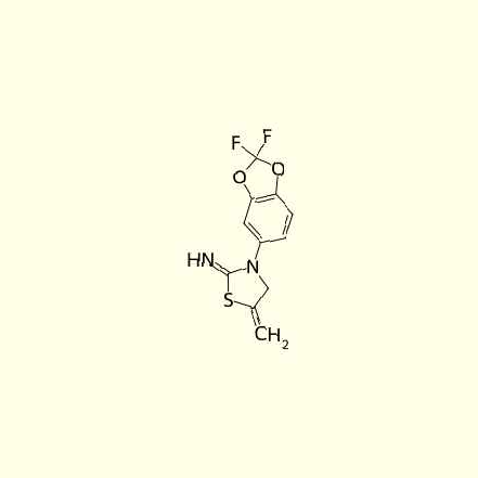 C=C1CN(c2ccc3c(c2)OC(F)(F)O3)C(=N)S1